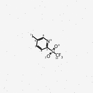 O=S(=O)(c1ccc(I)cn1)C(F)(F)F